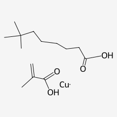 C=C(C)C(=O)O.CC(C)(C)CCCCCC(=O)O.[Cu]